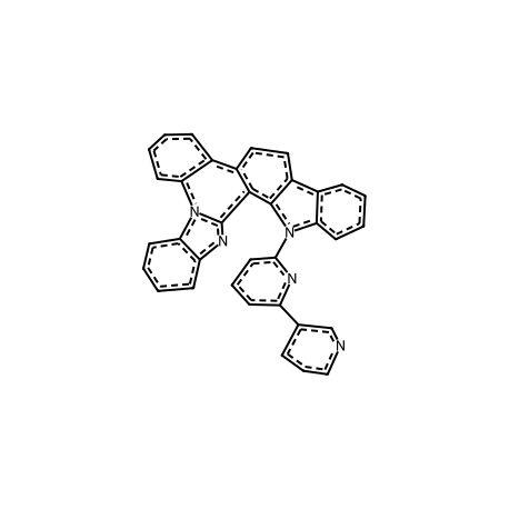 c1cncc(-c2cccc(-n3c4ccccc4c4ccc5c6ccccc6n6c7ccccc7nc6c5c43)n2)c1